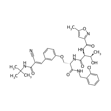 Cc1cc(C(=O)N[C@H](C(=O)N[C@@H](COc2cccc(/C=C(\C#N)C(=O)NC(C)(C)C)c2)C(=O)NCc2ccccc2Cl)[C@@H](C)O)no1